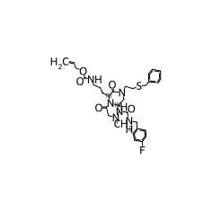 C=CCOC(=O)NCCC[C@H]1C(=O)N(CCSCc2ccccc2)C[C@H]2N1C(=O)CN(C)N2C(=O)NCc1ccc(F)cc1